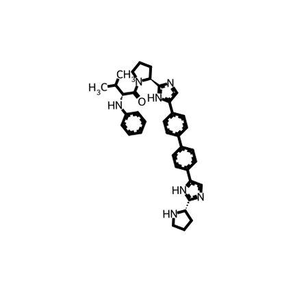 CC(C)[C@@H](Nc1ccccc1)C(=O)N1CCC[C@H]1c1ncc(-c2ccc(-c3ccc(-c4cnc([C@@H]5CCCN5)[nH]4)cc3)cc2)[nH]1